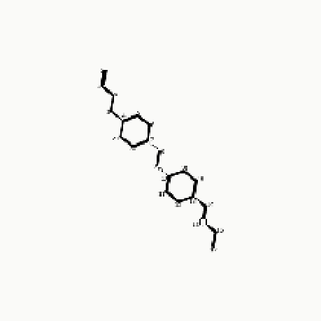 C=CCC[C@H]1CC[C@H](CC[C@H]2CC[C@H](COCC)CC2)CC1